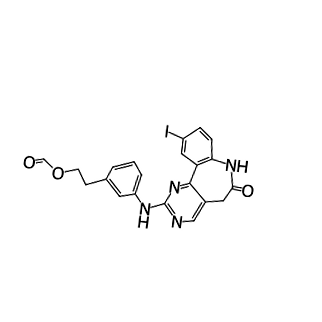 O=COCCc1cccc(Nc2ncc3c(n2)-c2cc(I)ccc2NC(=O)C3)c1